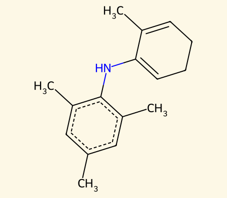 CC1=CCCC=C1Nc1c(C)cc(C)cc1C